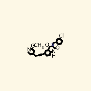 COc1cc(CC#Cc2ccc3c(c2)C(=O)/C(=C/c2cccc(Cl)c2)C(=O)N3)ccn1